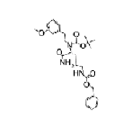 COc1cccc(CCN(C(=O)OC(C)(C)C)[C@H](CCCNC(=O)OCc2ccccc2)C(N)=O)c1